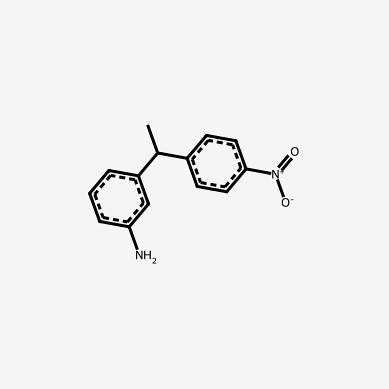 CC(c1ccc([N+](=O)[O-])cc1)c1cccc(N)c1